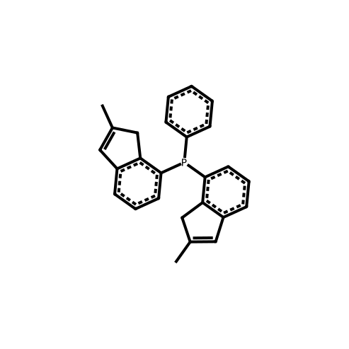 CC1=Cc2cccc(P(c3ccccc3)c3cccc4c3CC(C)=C4)c2C1